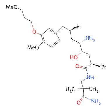 COCCCOc1cc(C[C@H](C[C@H](N)[C@@H](O)C[C@H](C(=O)NCC(C)(C)C(N)=O)C(C)C)C(C)C)ccc1OC